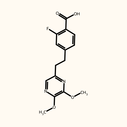 COc1ncc(CCc2ccc(C(=O)O)c(F)c2)nc1OC